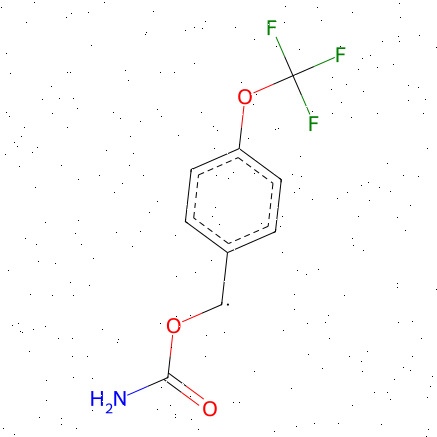 NC(=O)O[CH]c1ccc(OC(F)(F)F)cc1